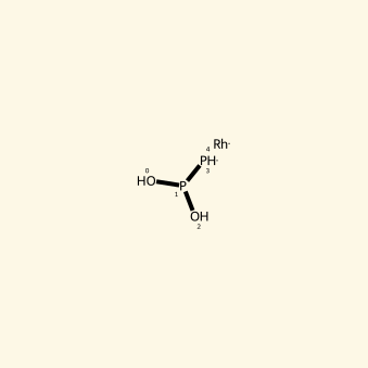 OP(O)[PH].[Rh]